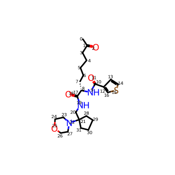 CC(=O)CCCCC[C@H](NC(=O)c1ccsc1)C(=O)NCC1(N2CCOCC2)CCCC1